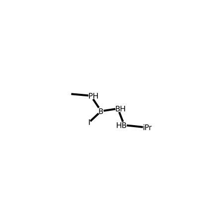 CPB(I)BBC(C)C